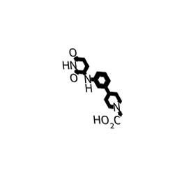 O=C(O)CN1CCC(c2cccc(NC3CCC(=O)NC3=O)c2)CC1